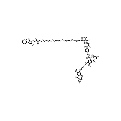 COc1cc2c(cc1OCCCCCOc1cc3c(cc1OC)C(=O)N1C=C(C)C[C@H]1[C@H](O)N3C(=O)OCc1ccc(NC(=O)[C@H](C)NC(=O)[C@@H](NC(=O)CCOCCOCCOCCOCCOCCOCCOCCOCCNC(=O)CCN3C(=O)CC(C4CCCCCC4C)C3=O)C(C)C)cc1)N=C[C@@H]1CC(C)=CN1C2=O